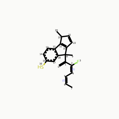 C=C(/C(F)=C\C=C/C)C1(C)C2=C(c3ccc(S)cc31)C(C)C=C2